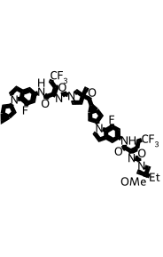 CCC1(OC)CN(c2nc(C(=O)Nc3cc(F)c4c(c3)CCN4C3CC4C(C3)C4C3OCC34CCN(c3nc(C(=O)Nc5cc(F)c6c(c5)CCN6C5CC6CC6C5)c(CC(F)(F)F)o3)C4)c(CC(F)(F)F)o2)C1